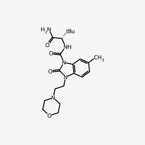 Cc1ccc2c(c1)n(C(=O)N[C@H](C(N)=O)C(C)(C)C)c(=O)n2CCN1CCOCC1